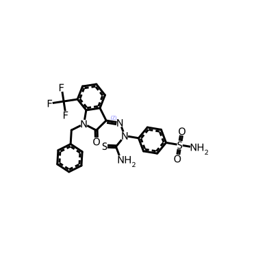 NC(=S)N(/N=C1\C(=O)N(Cc2ccccc2)c2c1cccc2C(F)(F)F)c1ccc(S(N)(=O)=O)cc1